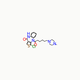 CN1CCN(CCCCCC(=O)N2c3ccccc3NC(=O)c3csc(Cl)c32)CC1